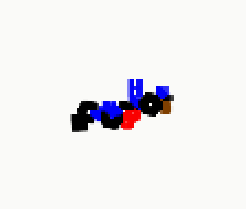 O=C(Cn1nc(N2CCCC3(CCC3)C2)ccc1=O)Nc1ccc2scnc2c1